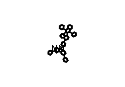 c1ccc(-c2ccc3c(c2)c2cc(-c4ccccc4)ncc2n3-c2ccc(-c3ccc4c5c(cccc35)-c3c-4c(-c4ccccc4)c4ccccc4c3-c3ccccc3)cc2)cc1